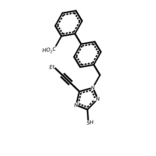 CCC#Cc1nc(S)nn1Cc1ccc(-c2ccccc2C(=O)O)cc1